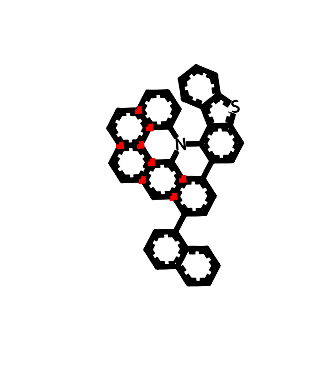 c1ccc(-c2ccccc2N(c2ccccc2-c2ccccc2)c2c(-c3ccc(-c4cccc5ccccc45)cc3)ccc3sc4ccccc4c23)cc1